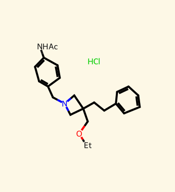 CCOCC1(CCc2ccccc2)CN(Cc2ccc(NC(C)=O)cc2)C1.Cl